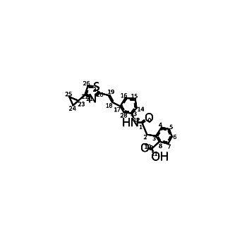 O=C(Cc1ccccc1C(=O)O)Nc1cccc(C=Cc2nc(C3CC3)cs2)c1